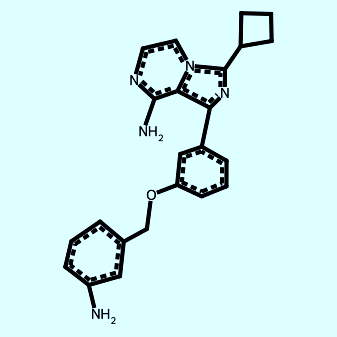 Nc1cccc(COc2cccc(-c3nc(C4CCC4)n4ccnc(N)c34)c2)c1